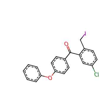 O=C(c1ccc(Oc2ccccc2)cc1)c1cc(Cl)ccc1CI